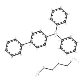 CCCCCN.c1ccc(-c2ccc(N(c3ccccc3)c3ccccc3)cc2)cc1